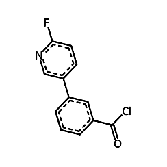 O=C(Cl)c1cccc(-c2ccc(F)nc2)c1